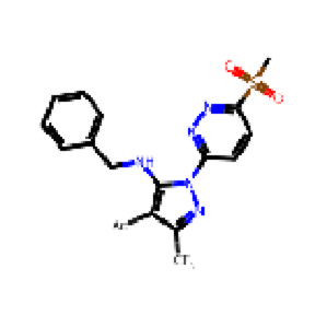 CC(=O)c1c(C(F)(F)F)nn(-c2ccc(S(C)(=O)=O)nn2)c1NCc1ccccc1